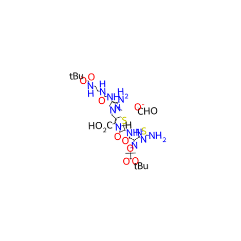 Cn1c(N)c(NC(=O)NCCNC(=O)OC(C)(C)C)c[n+]1CC1=C(C(=O)O)N2C(=O)[C@@H](NC(=O)/C(=N\OC(C)(C)C(=O)OC(C)(C)C)c3nsc(N)n3)[C@H]2SC1.O=C[O-]